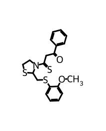 COc1ccccc1SCC1SCCN1C(=S)CC(=O)c1ccccc1